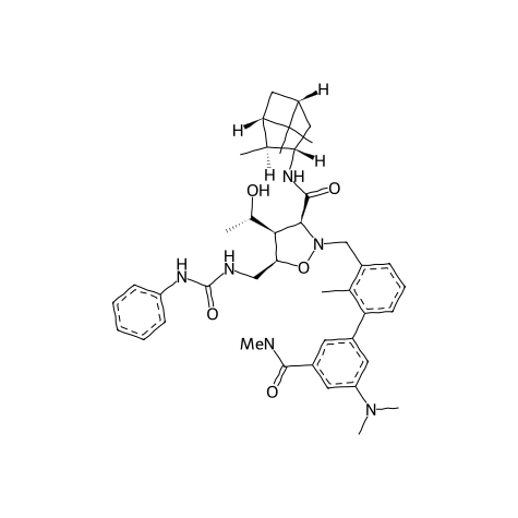 CNC(=O)c1cc(-c2cccc(CN3O[C@@H](CNC(=O)Nc4ccccc4)[C@@H]([C@H](C)O)[C@H]3C(=O)N[C@H]3C[C@H]4C[C@@H]([C@@H]3C)C4(C)C)c2C)cc(N(C)C)c1